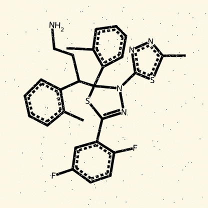 Cc1nnc(N2N=C(c3cc(F)ccc3F)SC2(c2ccccc2C)C(CCN)c2ccccc2C)s1